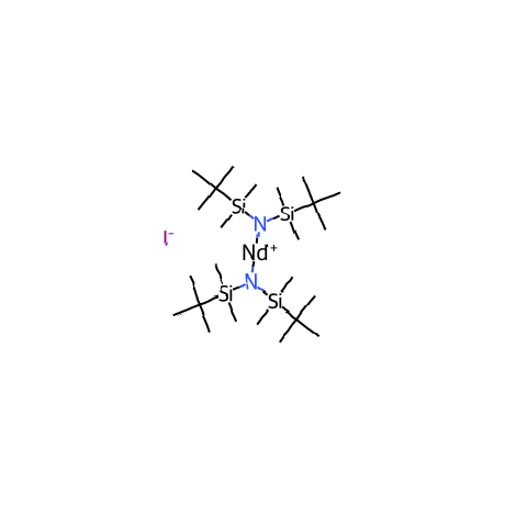 CC(C)(C)[Si](C)(C)[N]([Nd+][N]([Si](C)(C)C(C)(C)C)[Si](C)(C)C(C)(C)C)[Si](C)(C)C(C)(C)C.[I-]